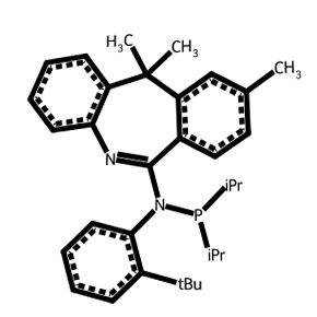 Cc1ccc2c(c1)C(C)(C)c1ccccc1N=C2N(c1ccccc1C(C)(C)C)P(C(C)C)C(C)C